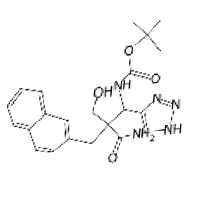 CC(C)(C)OC(=O)NC(c1c[nH]nn1)C(CO)(Cc1ccc2ccccc2c1)C(N)=O